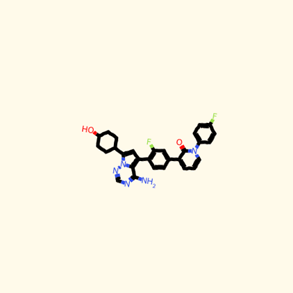 Nc1ncnn2c(C3CCC(O)CC3)cc(-c3ccc(-c4cccn(-c5ccc(F)cc5)c4=O)cc3F)c12